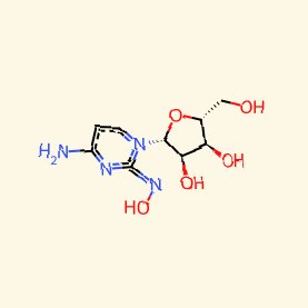 Nc1ccn([C@@H]2O[C@H](CO)[C@@H](O)[C@H]2O)/c(=N/O)n1